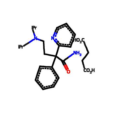 CC(C)N(CCC(C(N)=O)(c1ccccc1)c1ccccn1)C(C)C.O=C(O)CCC(=O)O